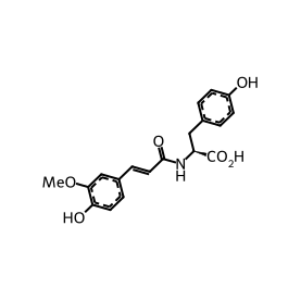 COc1cc(/C=C/C(=O)N[C@@H](Cc2ccc(O)cc2)C(=O)O)ccc1O